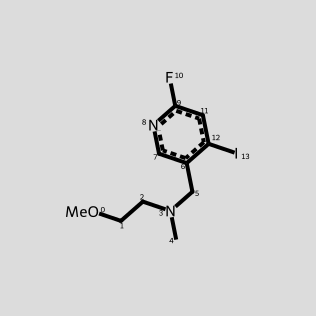 COCCN(C)Cc1cnc(F)cc1I